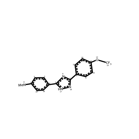 CNc1ccc(-c2nc(-c3ccc(OC(F)(F)F)cc3)n[nH]2)cc1